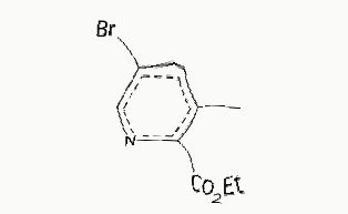 CCOC(=O)c1ncc(Br)cc1C